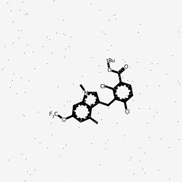 Cc1cc(OC(F)(F)F)cc2c1c(Cc1c(Cl)ccc(C(=O)OC(C)(C)C)c1Cl)cn2C